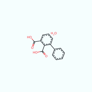 O.O=C(O)c1cccc(-c2ccccc2)c1C(=O)O